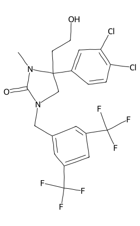 CN1C(=O)N(Cc2cc(C(F)(F)F)cc(C(F)(F)F)c2)CC1(CCO)c1ccc(Cl)c(Cl)c1